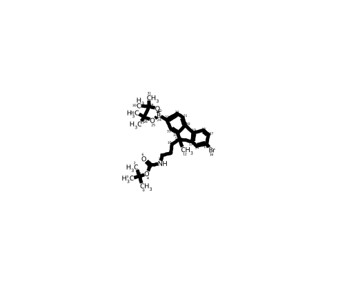 CC(C)(C)OC(=O)NCCCC1(C)c2cc(Br)ccc2-c2ccc(B3OC(C)(C)C(C)(C)O3)cc21